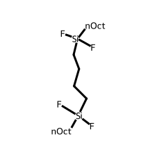 CCCCCCCC[Si](F)(F)CCCC[Si](F)(F)CCCCCCCC